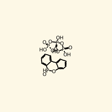 O=P(O)(O)OP(=O)(O)OP(=O)(O)O.O=[PH]1Oc2ccccc2-c2ccccc21